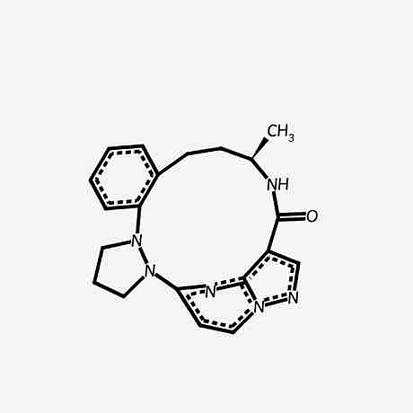 C[C@@H]1CCc2ccccc2N2CCCN2c2ccn3ncc(c3n2)C(=O)N1